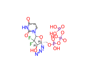 [N-]=[N+]=N[C@]1(COP(=O)(O)OP(=O)(O)OP(=O)(O)O)OC(n2ccc(=O)[nH]c2=O)C(F)(F)[C@@H]1O